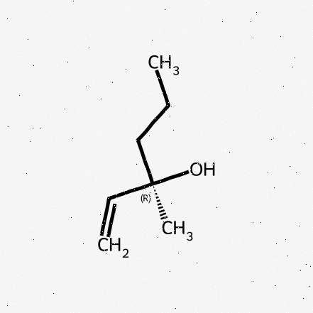 C=C[C@](C)(O)CCC